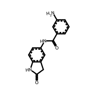 Nc1cccc(C(=O)Nc2ccc3c(c2)CC(=O)N3)c1